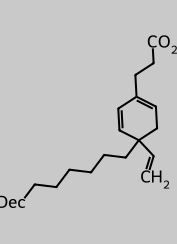 C=CC1(CCCCCCCCCCCCCCCC)C=CC(CCC(=O)O)=CC1